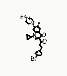 CCN1CCN(c2cc3c(cc2F)c(=O)c(C(=O)C=Cc2ccc(Br)cc2)cn3C2CC2)CC1